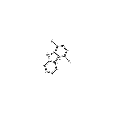 Fc1ccc(Br)c2[nH]c3ccccc3c12